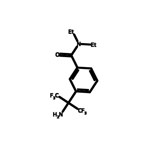 CCN(CC)C(=O)c1cccc(C(N)(C(F)(F)F)C(F)(F)F)c1